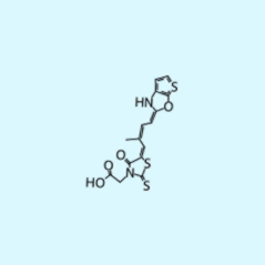 CC(=CC=C1Nc2ccsc2O1)C=C1SC(=S)N(CC(=O)O)C1=O